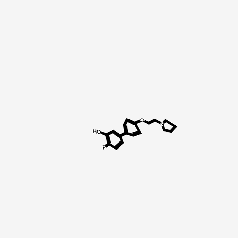 Oc1cc(-c2ccc(OCCN3CCCC3)cc2)ccc1F